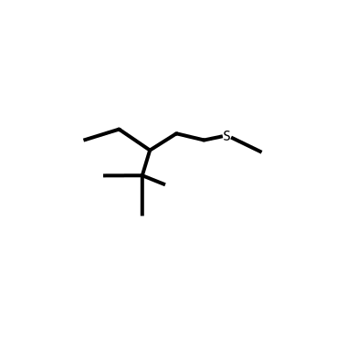 CCC(CCSC)C(C)(C)C